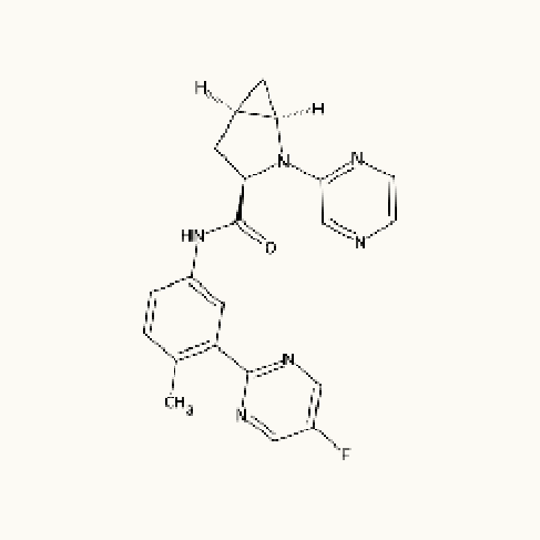 Cc1ccc(NC(=O)[C@H]2C[C@H]3C[C@H]3N2c2cnccn2)cc1-c1ncc(F)cn1